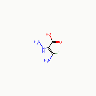 NN/C(C(=O)O)=C(\N)F